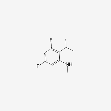 CNc1cc(F)cc(F)c1C(C)C